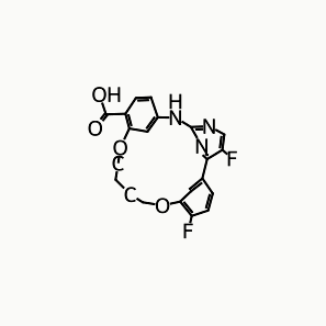 O=C(O)c1ccc2cc1OCCCCOc1cc(ccc1F)-c1nc(ncc1F)N2